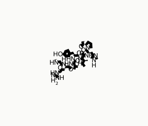 [CH2]C(=O)[C@@H]1CCCN1C(=O)[C@H](Cc1c[nH]cn1)NC(=O)[C@@H](NC(=O)[C@H](Cc1ccc(O)cc1)NC(=O)[C@@H](NC(=O)[C@H](CCCNC(=N)N)NC(=O)CNC)C(C)C)[C@@H](C)CC